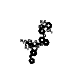 C[C@@H]1CCC[C@H](C)N1c1nnc2ccc(OC3CC[C@H](NC(=O)Nc4cc(C(C)(C)C)nn4-c4cc(CN5CCCC5)ccc4F)c4ccccc43)cn12